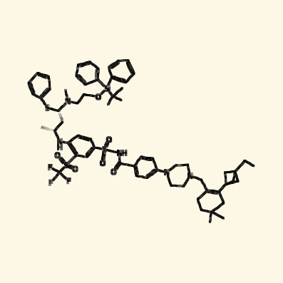 CCC12CC(C3=C(CN4CCN(c5ccc(C(=O)NS(=O)(=O)c6ccc(N[C@H](C)C[C@H](Sc7ccccc7)N(C)CCO[Si](c7ccccc7)(c7ccccc7)C(C)(C)C)c(S(=O)(=O)C(F)(F)F)c6)cc5)CC4)CCC(C)(C)C3)(C1)C2